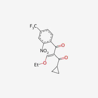 CCOC=C(C(=O)c1ccc(C(F)(F)F)cc1[N+](=O)[O-])C(=O)C1CC1